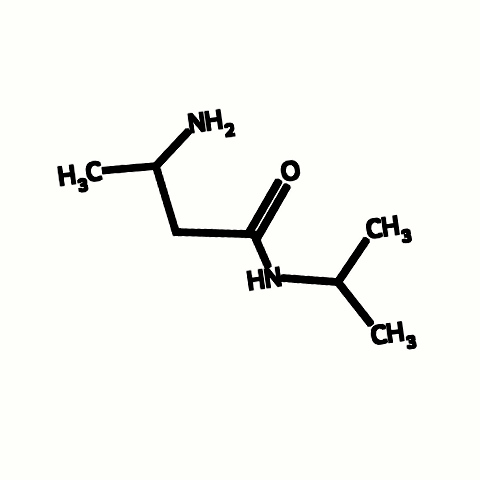 CC(N)CC(=O)NC(C)C